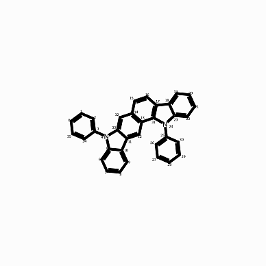 c1ccc(-n2c3ccccc3c3cc4c(ccc5c6ccccc6n(-c6ccccc6)c45)cc32)cc1